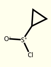 [O-][S+](Cl)C1CC1